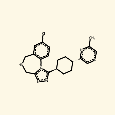 Cc1cncc([C@H]2CC[C@H](c3nnc4n3-c3ccc(Cl)cc3CNC4)CC2)n1